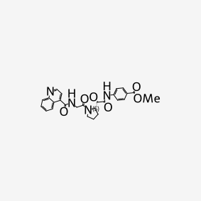 COC(=O)c1ccc(NC(=O)C(=O)[C@@H]2CCCN2C(=O)CNC(=O)c2ccnc3ccccc23)cc1